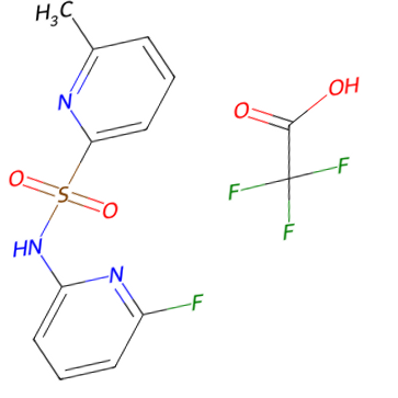 Cc1cccc(S(=O)(=O)Nc2cccc(F)n2)n1.O=C(O)C(F)(F)F